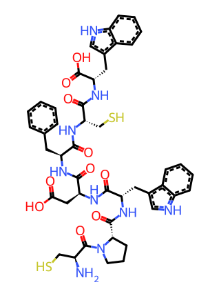 N[C@@H](CS)C(=O)N1CCC[C@H]1C(=O)N[C@@H](Cc1c[nH]c2ccccc12)C(=O)N[C@@H](CC(=O)O)C(=O)N[C@@H](Cc1ccccc1)C(=O)N[C@@H](CS)C(=O)N[C@@H](Cc1c[nH]c2ccccc12)C(=O)O